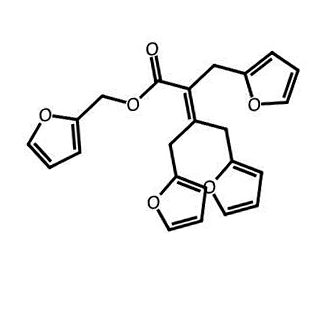 O=C(OCc1ccco1)C(Cc1ccco1)=C(Cc1ccco1)Cc1ccco1